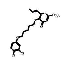 C/C=C/c1oc(C(=O)O)cc(=O)c1OCCCCCOc1ccc(Cl)c(Cl)c1